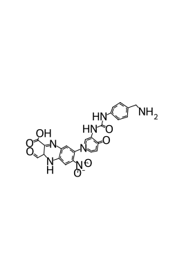 NCc1ccc(NC(=O)Nc2cn(-c3cc4c(cc3[N+](=O)[O-])NC(C=O)C(C(=O)O)=N4)ccc2=O)cc1